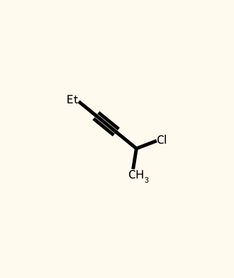 CCC#CC(C)Cl